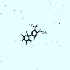 COc1cc(F)c(-c2c(F)c(F)c(F)c(I)c2F)cc1[N+](=O)[O-]